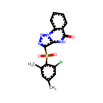 Cc1cc(C)c(S(=O)(=O)c2nnn3c2[nH]c(=O)c2ccccc23)c(Br)c1